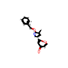 Cc1cc([C@H]2CC(=O)C=CO2)cnc1OCc1ccccc1